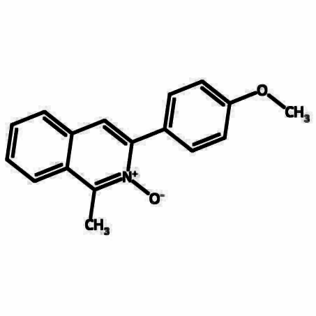 COc1ccc(-c2cc3ccccc3c(C)[n+]2[O-])cc1